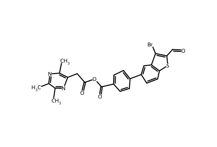 Cc1nc(C)c(CC(=O)OC(=O)c2ccc(-c3ccc4sc(C=O)c(Br)c4c3)cc2)nc1C